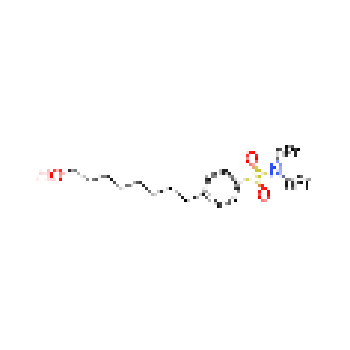 CCCN(CCC)S(=O)(=O)c1ccc(CCCCCCCCO)cc1